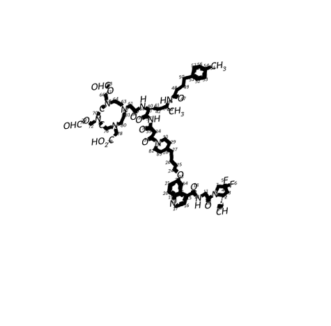 C#C[C@H]1CC(F)(F)CN1C(=O)CNC(=O)c1ccnc2ccc(OCCCCC3CCN(C(=O)CC(=O)NC(=O)[C@H](CC[C@@H](C)NC(=O)CCCc4ccc(C)cc4)NC(=O)CN4CCN(COC=O)CCN(COC=O)CCN(CC(=O)O)CC4)CC3)cc12